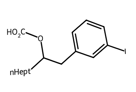 CCCCCCCC(Cc1cccc(I)c1)OC(=O)O